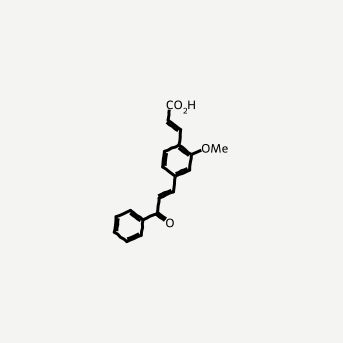 COc1cc(/C=C/C(=O)c2ccccc2)ccc1/C=C/C(=O)O